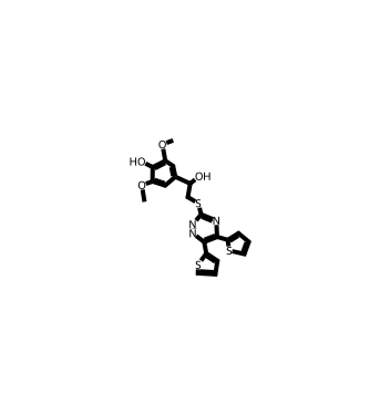 COc1cc(C(O)CSc2nnc(-c3cccs3)c(-c3cccs3)n2)cc(OC)c1O